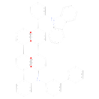 c1ccc(-c2ccc(-c3ccccc3N(c3ccc(-c4ccc(-c5ccccc5-n5c6ccccc6c6ccccc65)cc4)cc3)c3cccc(-c4ccccc4)c3)cc2)cc1